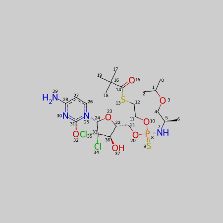 CC(C)OC[C@@H](C)N[P@@](=S)(OCCSC(=O)C(C)(C)C)OC[C@H]1O[C@@H](n2ccc(N)nc2=O)C(Cl)(Cl)[C@@H]1O